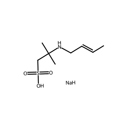 C/C=C/CNC(C)(C)CS(=O)(=O)O.[NaH]